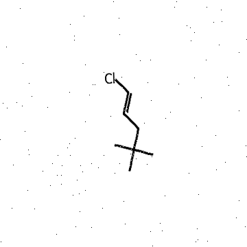 CC(C)(C)C/C=C/Cl